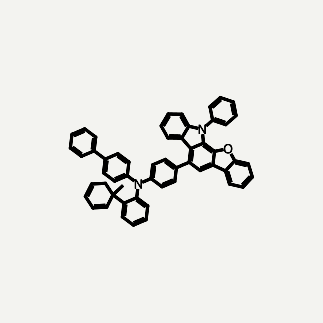 CC1(c2ccccc2N(c2ccc(-c3ccccc3)cc2)c2ccc(-c3cc4c5ccccc5oc4c4c3c3ccccc3n4-c3ccccc3)cc2)C=CC=CC1